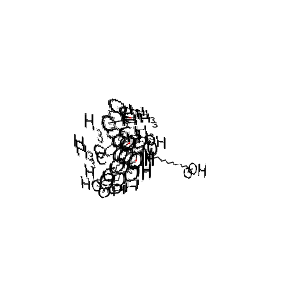 CC1O[C@@H](OC2C(O)[C@@H](NC(=O)CCCCCCCCCCC(=O)O)C(CO)O[C@H]2OC(=O)[C@]23CCC(C)(C)CC2C2=CCC4C5(C)CC[C@H](O)C(C)(C)[C@@H]5CCC4(C)[C@]2(C)CC3O)C(O)C(O)[C@H]1O[C@@H]1OC[C@@H](O)C(O)C1O